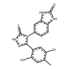 CCc1cc(-c2n[nH]c(=S)n2-c2ccc3[nH]c(=O)[nH]c3c2)c(O)cc1C